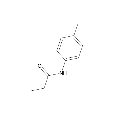 CCC(=O)Nc1ccc(C)cc1